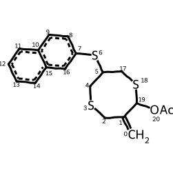 C=C1CSCC(Sc2ccc3ccccc3c2)CSC1OC(C)=O